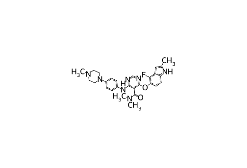 Cc1cc2c(F)c(Oc3ncnc(Nc4ccc(N5CCN(C)CC5)cc4)c3C(=O)N(C)C)ccc2[nH]1